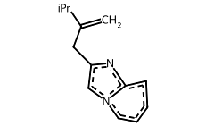 C=C(Cc1cn2ccccc2n1)C(C)C